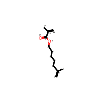 C=C(C)CCCCCOC(=O)C(=C)C